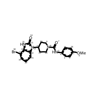 COc1ccc(NC(=O)N2CCC(n3c(=O)[nH]c4c(Br)cccc43)CC2)cc1